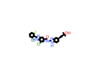 CC(C)(O)C#Cc1ccc2[nH]c(NC(=O)c3cc(Cl)c4[nH]c(-c5c(F)cccc5Cl)nc4c3)nc2c1